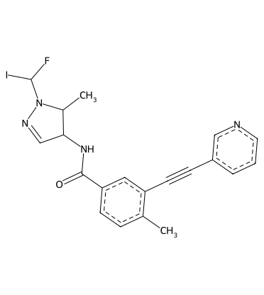 Cc1ccc(C(=O)NC2C=NN(C(F)I)C2C)cc1C#Cc1cccnc1